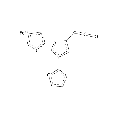 O=C=Cc1cc[c-](-c2ccco2)c1.[Fe+2].c1cc[cH-]c1